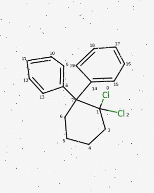 ClC1(Cl)CCCCC1(c1ccccc1)c1ccccc1